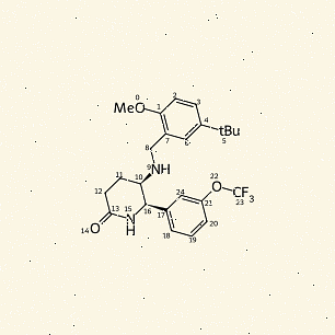 COc1ccc(C(C)(C)C)cc1CN[C@@H]1CCC(=O)N[C@@H]1c1cccc(OC(F)(F)F)c1